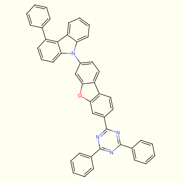 c1ccc(-c2nc(-c3ccccc3)nc(-c3ccc4c(c3)oc3cc(-n5c6ccccc6c6c(-c7ccccc7)cccc65)ccc34)n2)cc1